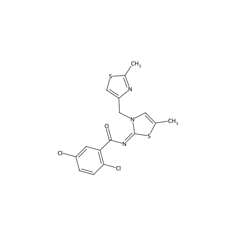 Cc1cn(Cc2csc(C)n2)c(=NC(=O)c2cc(Cl)ccc2Cl)s1